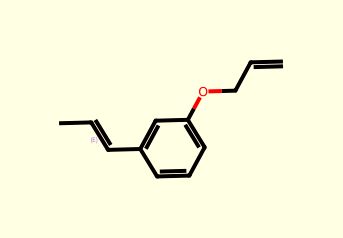 C=CCOc1cccc(/C=C/C)c1